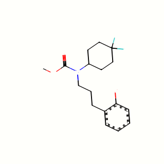 CC(C)(C)OC(=O)N(CCCc1ccccc1O)C1CCC(F)(F)CC1